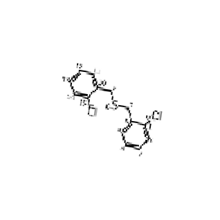 Clc1ccccc1CSCc1ccccc1Cl